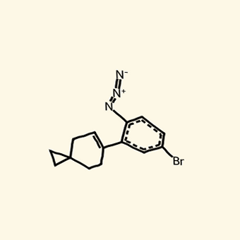 [N-]=[N+]=Nc1ccc(Br)cc1C1=CCC2(CC1)CC2